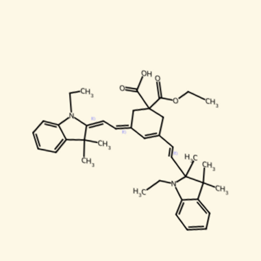 CCOC(=O)C1(C(=O)O)CC(/C=C/C2(C)N(CC)c3ccccc3C2(C)C)=CC(=C/C=C2/N(CC)c3ccccc3C2(C)C)/C1